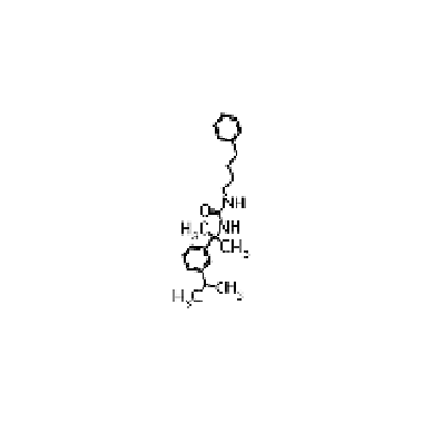 CC(C)c1cccc(C(C)(C)NC(=O)NCCCCc2ccccc2)c1